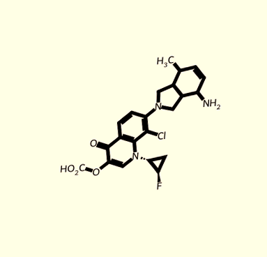 CC1C=CC(N)C2CN(c3ccc4c(=O)c(OC(=O)O)cn([C@@H]5C[C@H]5F)c4c3Cl)CC12